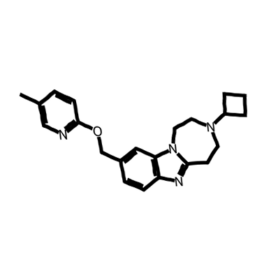 Cc1ccc(OCc2ccc3nc4n(c3c2)CCN(C2CCC2)CC4)nc1